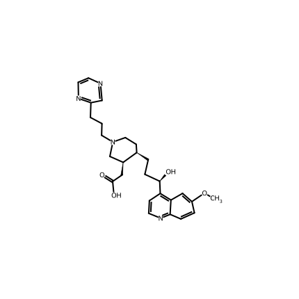 COc1ccc2nccc([C@H](O)CC[C@@H]3CCN(CCCc4cnccn4)C[C@@H]3CC(=O)O)c2c1